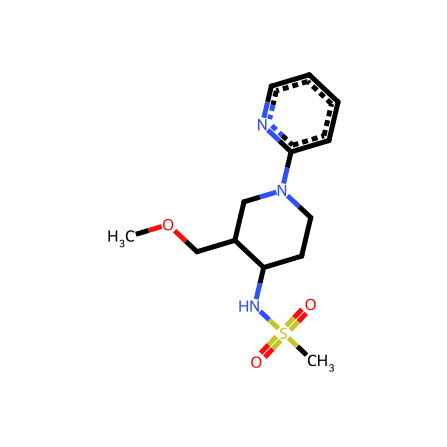 COCC1CN(c2ccccn2)CCC1NS(C)(=O)=O